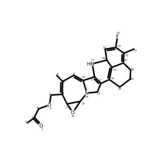 CC(=O)COCC1=C(C)C=C2C3=C(CN2C2OC12)C1=C2C(=C(C)C(F)=CC2N3)CCC1